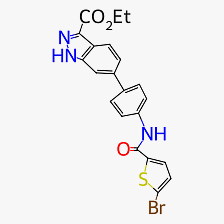 CCOC(=O)c1n[nH]c2cc(-c3ccc(NC(=O)c4ccc(Br)s4)cc3)ccc12